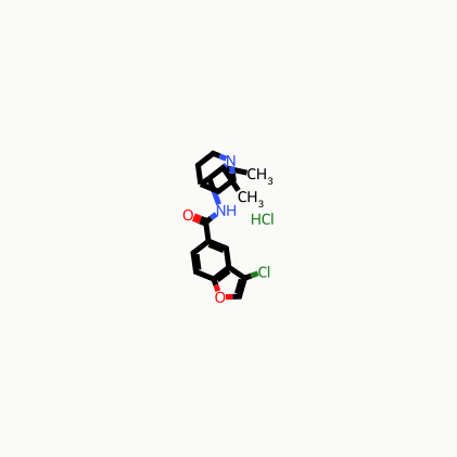 CC1(C)C(NC(=O)c2ccc3occ(Cl)c3c2)C2CCN1CC2.Cl